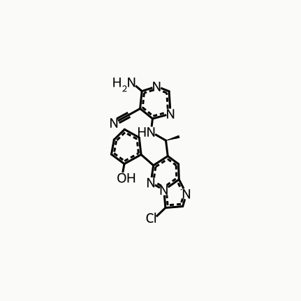 C[C@H](Nc1ncnc(N)c1C#N)c1cc2ncc(Cl)n2nc1-c1ccccc1O